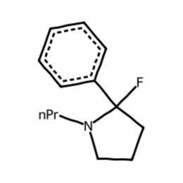 CCCN1CCCC1(F)c1ccccc1